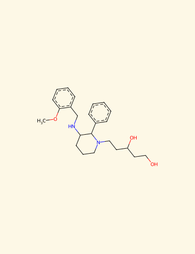 COc1ccccc1CNC1CCCN(CCC(O)CCO)C1c1ccccc1